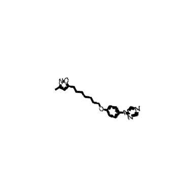 Cc1cc(CCCCCCCOc2ccc(-n3cncn3)cc2)on1